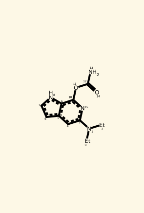 CCN(CC)c1cc2cc[nH]c2c(OC(N)=O)n1